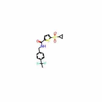 CC(F)(F)c1ccc(CNC(=O)c2ccc(S(=O)(=O)C3CC3)s2)cc1